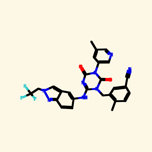 Cc1cncc(-n2c(=O)nc(Nc3ccc4nn(CC(F)(F)F)cc4c3)n(Cc3cc(C#N)ccc3C)c2=O)c1